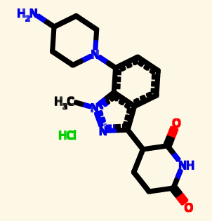 Cl.Cn1nc(C2CCC(=O)NC2=O)c2cccc(N3CCC(N)CC3)c21